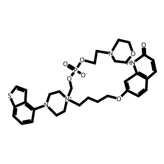 O=c1ccc2ccc(OCCCC[N+]3(COP(=O)([O-])OCCN4CCOCC4)CCN(c4cccc5sccc45)CC3)cc2[nH]1